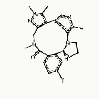 Cc1ncc2cc1N1CCC[C@@H]1c1cc(F)ccc1C(=O)N(C)Cc1nn(C)c(C)c1-2